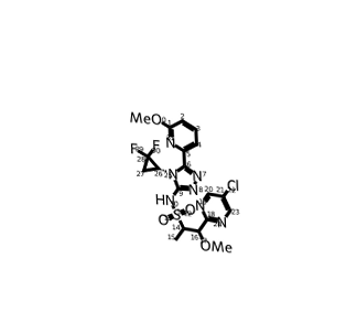 COc1cccc(-c2nnc(NS(=O)(=O)C(C)C(OC)c3ncc(Cl)cn3)n2[C@@H]2CC2(F)F)n1